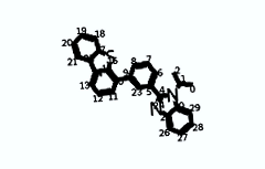 CC(C)n1c(-c2cccc(-c3cccc4c3SC3C=CC=CC43)c2)nc2ccccc21